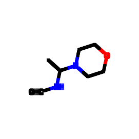 CC(NC=O)N1CCOCC1